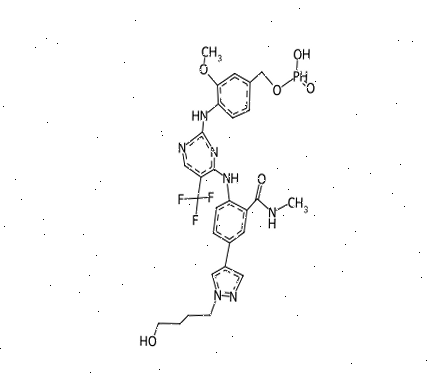 CNC(=O)c1cc(-c2cnn(CCCCO)c2)ccc1Nc1nc(Nc2ccc(CO[PH](=O)O)cc2OC)ncc1C(F)(F)F